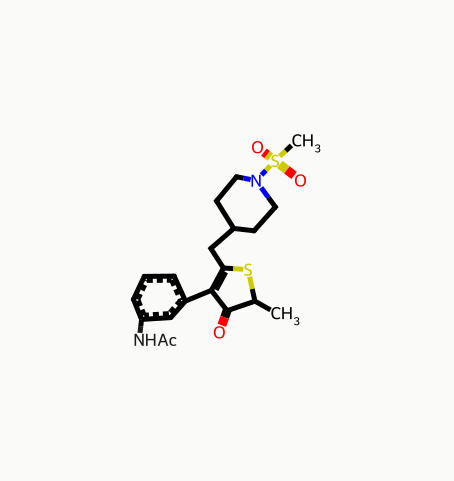 CC(=O)Nc1cccc(C2=C(CC3CCN(S(C)(=O)=O)CC3)SC(C)C2=O)c1